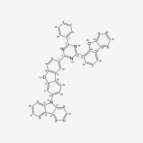 c1ccc(-c2nc(-c3ccc4oc5cc(-n6c7ccccc7c7ccccc76)ccc5c4c3)nc(-c3cccc4c3oc3ccccc34)n2)cc1